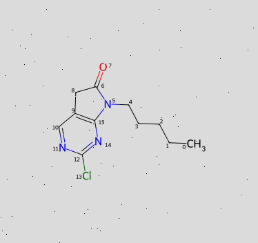 CCCCCN1C(=O)Cc2cnc(Cl)nc21